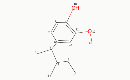 CCC(C)C(C)c1ccc(O)c(OC)c1